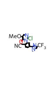 COc1cnc(Cl)nc1OC(C#N)c1ccc(-c2nc(C(F)(F)F)cn2C)cc1